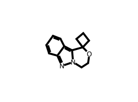 c1ccc2c3n(nc2c1)CCOC31CCC1